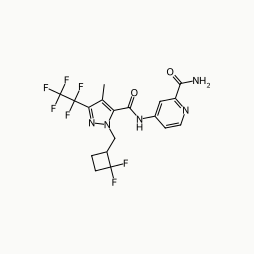 Cc1c(C(F)(F)C(F)(F)F)nn(CC2CCC2(F)F)c1C(=O)Nc1ccnc(C(N)=O)c1